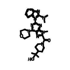 CN(C)c1nc2ccccc2n1-c1nc(N2CCOCC2)c2nc(C(=O)N3CCC(C(C)(C)O)CC3)n(C)c2n1